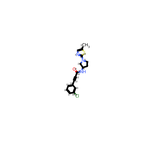 Cc1cnc(N2CCC(NC(=O)C#Cc3cccc(Cl)c3)C2)s1